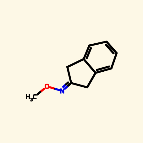 CON=C1Cc2ccccc2C1